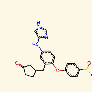 C[S+]([O-])c1ccc(Oc2ccc(Nc3c[nH]cn3)cc2CC2CCC(=O)C2)cc1